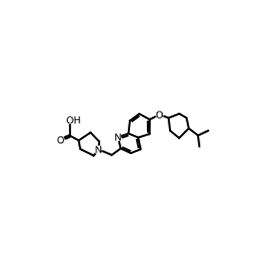 CC(C)C1CCC(Oc2ccc3nc(CN4CCC(C(=O)O)CC4)ccc3c2)CC1